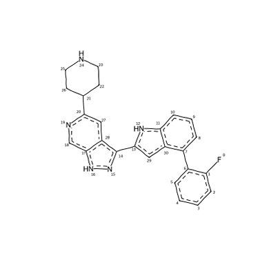 Fc1ccccc1-c1cccc2[nH]c(-c3n[nH]c4cnc(C5CCNCC5)cc34)cc12